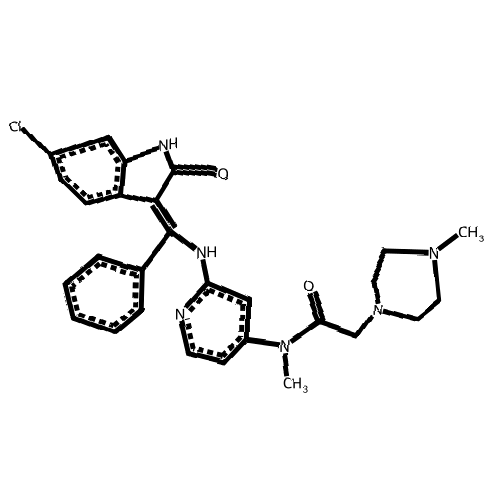 CN1CCN(CC(=O)N(C)c2ccnc(N/C(=C3\C(=O)Nc4cc(Cl)ccc43)c3ccccc3)c2)CC1